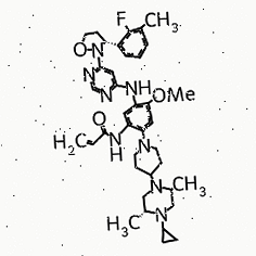 C=CC(=O)Nc1cc(Nc2cc(N3OCC[C@@H]3c3cccc(C)c3F)ncn2)c(OC)cc1N1CCC(N2C[C@@H](C)N(C3CC3)C[C@H]2C)CC1